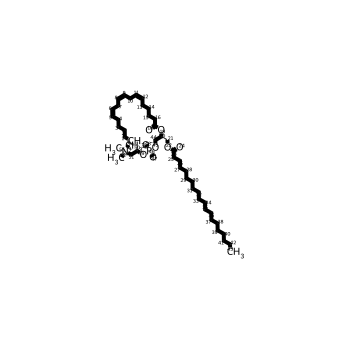 CCCCC/C=C\C/C=C\C/C=C\CCCCC(=O)O[C@H](COC(=O)CCCCCCCCCCCCCCCCCCC)COP(=O)([O-])OCC[N+](C)(C)C